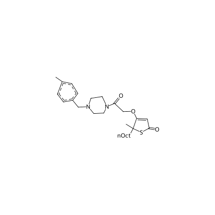 CCCCCCCCC1(C)SC(=O)C=C1OCC(=O)N1CCN(Cc2ccc(C)cc2)CC1